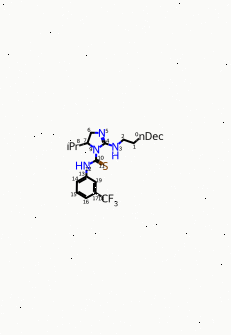 CCCCCCCCCCCCNC1=NCC(C(C)C)N1C(=S)Nc1cccc(C(F)(F)F)c1